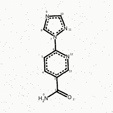 NC(=O)c1ccc(-n2cncn2)nc1